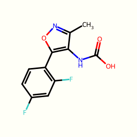 Cc1noc(-c2ccc(F)cc2F)c1NC(=O)O